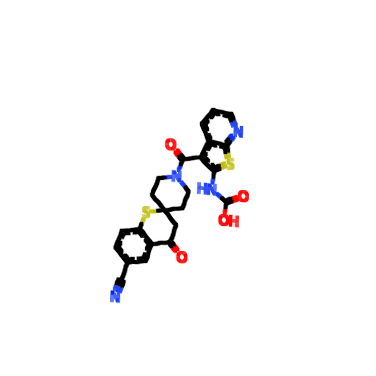 N#Cc1ccc2c(c1)C(=O)CC1(CCN(C(=O)c3c(NC(=O)O)sc4ncccc34)CC1)S2